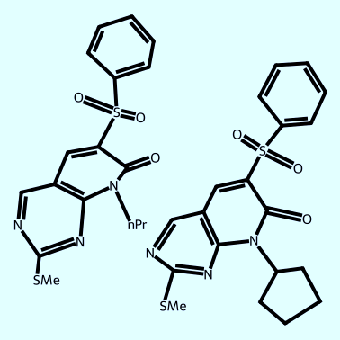 CCCn1c(=O)c(S(=O)(=O)c2ccccc2)cc2cnc(SC)nc21.CSc1ncc2cc(S(=O)(=O)c3ccccc3)c(=O)n(C3CCCC3)c2n1